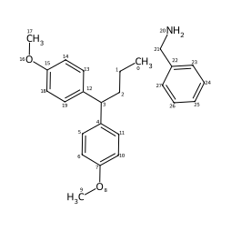 CCCC(c1ccc(OC)cc1)c1ccc(OC)cc1.NCc1ccccc1